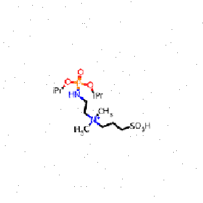 CC(C)OP(=O)(NCC[N+](C)(C)CCCS(=O)(=O)O)OC(C)C